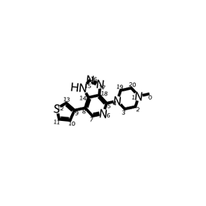 CN1CCN(c2ncc(-c3ccsc3)c3[nH]nnc23)CC1